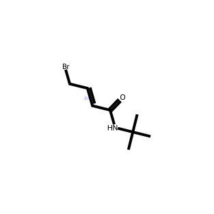 CC(C)(C)NC(=O)/C=C/CBr